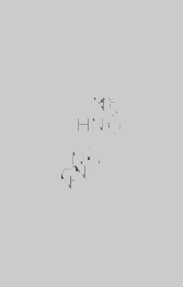 Cc1nccc(N2CC[C@]3(CCC[C@H](NC(=O)c4nccs4)C3)C2=O)n1